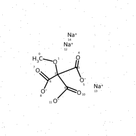 COC(C(=O)[O-])(C(=O)[O-])C(=O)[O-].[Na+].[Na+].[Na+]